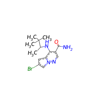 CC(Nc1c(C(N)=O)cnn2cc(Br)cc12)C(C)(C)C